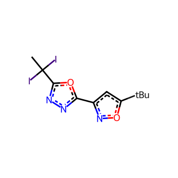 CC(C)(C)c1cc(-c2nnc(C(C)(I)I)o2)no1